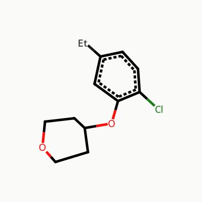 CCc1ccc(Cl)c(OC2CCOCC2)c1